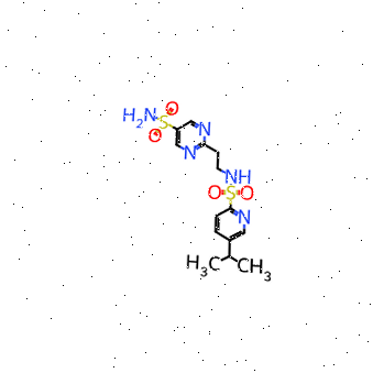 CC(C)c1ccc(S(=O)(=O)NCCc2ncc(S(N)(=O)=O)cn2)nc1